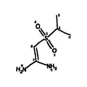 CC(C)S(=O)(=O)C=C(N)N